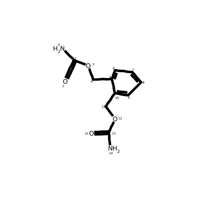 NC(=O)OCc1ccccc1COC(N)=O